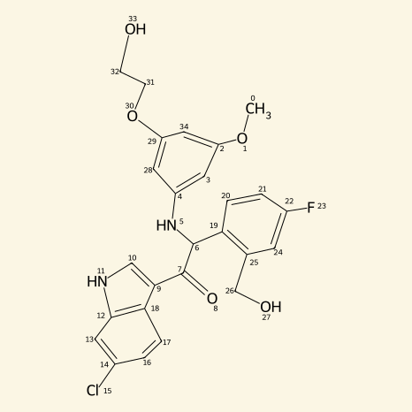 COc1cc(NC(C(=O)c2c[nH]c3cc(Cl)ccc23)c2ccc(F)cc2CO)cc(OCCO)c1